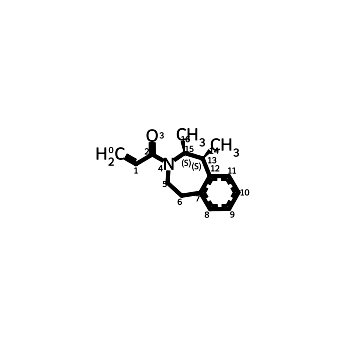 C=CC(=O)N1CCc2ccccc2[C@H](C)[C@@H]1C